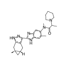 Cc1cc2[nH]c(-c3n[nH]c4c3C[C@@H]3C[C@]3(C)C4)nc2cc1N(C)C(=O)C(C)N1CCCCC1